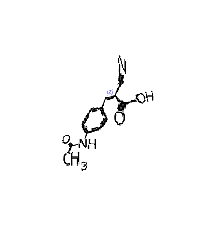 CC(=O)Nc1ccc(/C=C(/C#N)C(=O)O)cc1